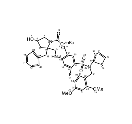 CCCCOC(=O)N1CC(O)CC1(CNc1cc(F)c(S(=O)(=O)N(Cc2ccc(OC)cc2OC)c2nccs2)cc1Cl)Cc1ccccc1